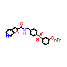 CCCOc1cccc(S(=O)(=O)c2ccc(CNC(=O)c3cc4ccncc4o3)cc2)c1